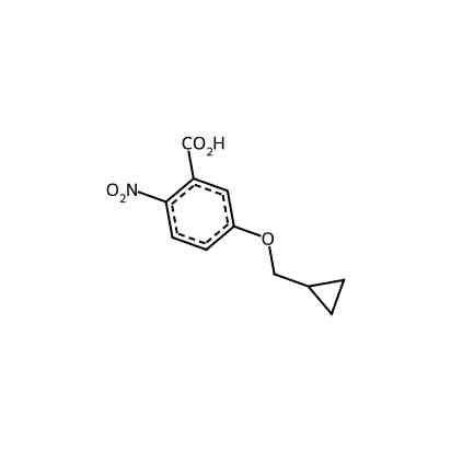 O=C(O)c1cc(OCC2CC2)ccc1[N+](=O)[O-]